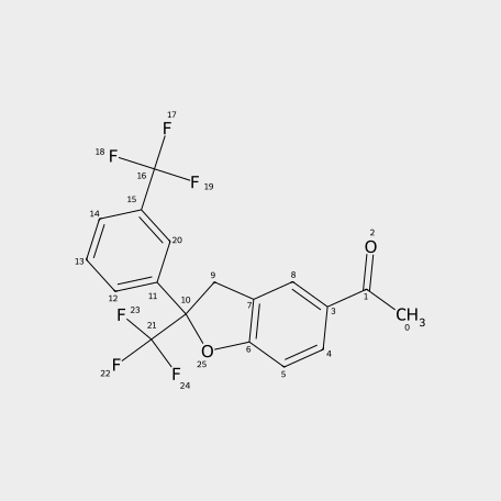 CC(=O)c1ccc2c(c1)CC(c1cccc(C(F)(F)F)c1)(C(F)(F)F)O2